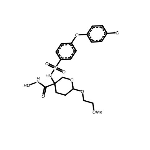 COCCOC1CCC(NS(=O)(=O)c2ccc(Oc3ccc(Cl)cc3)cc2)(C(=O)NO)CO1